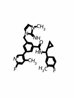 Cc1cc(C(NC(=O)c2cc(Cn3ccn(C)c3=N)cc(-c3cnc(F)cc3C)c2)C2CC2)ccc1F